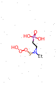 CCN(CCP(=O)(O)O)SOOO